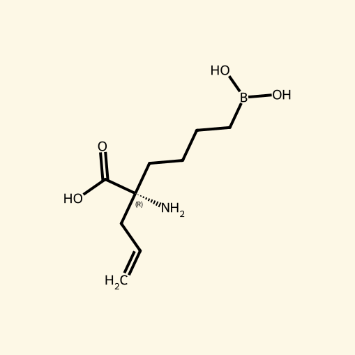 C=CC[C@](N)(CCCCB(O)O)C(=O)O